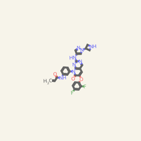 C=CC(=O)Nc1cccc(-n2c(=O)c(Oc3ccc(F)cc3F)cc3cnc(Nc4cnn(C5CNC5)c4)nc32)c1